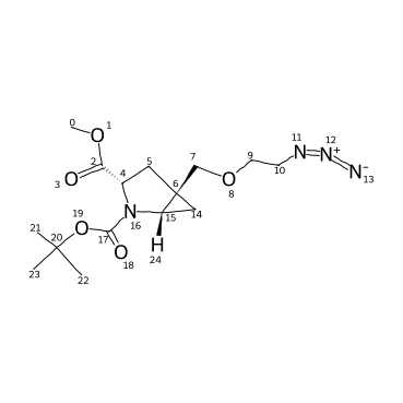 COC(=O)[C@@H]1C[C@]2(COCCN=[N+]=[N-])C[C@@H]2N1C(=O)OC(C)(C)C